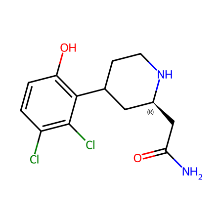 NC(=O)C[C@H]1CC(c2c(O)ccc(Cl)c2Cl)CCN1